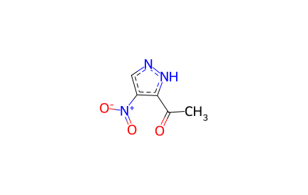 CC(=O)c1[nH]ncc1[N+](=O)[O-]